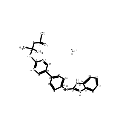 CC(C)(CC(=O)[O-])Oc1ncc(-c2ccc(Nc3nc4ccccc4[nH]3)cc2)cn1.[Na+]